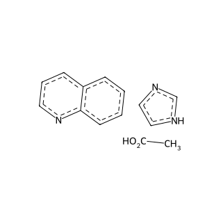 CC(=O)O.c1c[nH]cn1.c1ccc2ncccc2c1